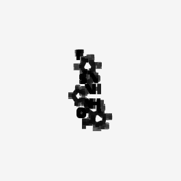 O=C(N[C@@H]1CCC[C@@H]1Nc1nc2ccc(F)cc2s1)c1c(F)cccc1F